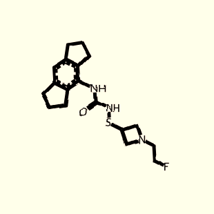 O=C(NSC1CN(CCF)C1)Nc1c2c(cc3c1CCC3)CCC2